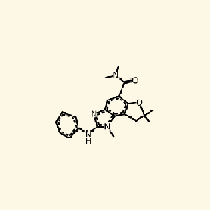 CN(C)C(=O)c1cc2nc(Nc3ccccc3)n(C)c2c2c1OC(C)(C)C2